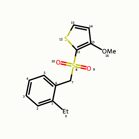 CCc1ccccc1CS(=O)(=O)c1sccc1OC